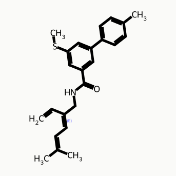 C=C/C(=C\C=C(C)C)CNC(=O)c1cc(SC)cc(-c2ccc(C)cc2)c1